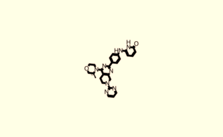 C[C@H]1COCCN1c1nc(-c2ccc(Nc3cccc(=O)[nH]3)cc2)nc2c1CCN(c1ncccn1)C2